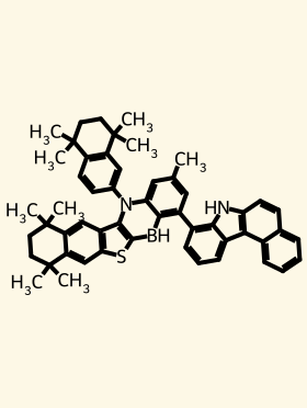 Cc1cc(-c2cccc3c2[nH]c2ccc4ccccc4c23)c2c(c1)N(c1ccc3c(c1)C(C)(C)CCC3(C)C)c1c(sc3cc4c(cc13)C(C)(C)CCC4(C)C)B2